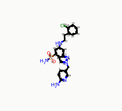 Nc1ccc(Cn2cc3c(S(N)(=O)=O)cc(NCCc4ccccc4Cl)cc3n2)cn1